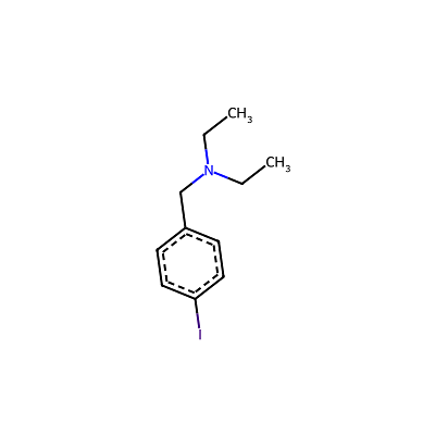 CCN(CC)Cc1ccc(I)cc1